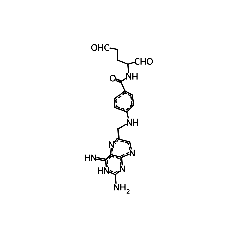 N=c1[nH]c(N)nc2ncc(CNc3ccc(C(=O)NC(C=O)CCC=O)cc3)nc12